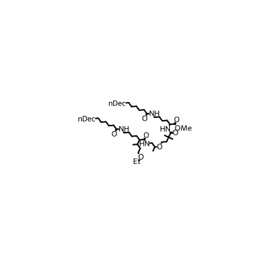 CCCCCCCCCCCCCCCC(=O)NCCCCC(NC(=O)C(C)(C)CCOC(C)CNC(=O)C(CCCCNC(=O)CCCCCCCCCCCCCCC)C(C)CCOCC)C(=O)OC